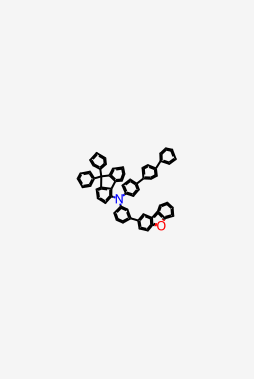 c1ccc(-c2ccc(-c3ccc(N(c4cccc(-c5ccc6oc7ccccc7c6c5)c4)c4cccc5c4-c4ccccc4C5(c4ccccc4)c4ccccc4)cc3)cc2)cc1